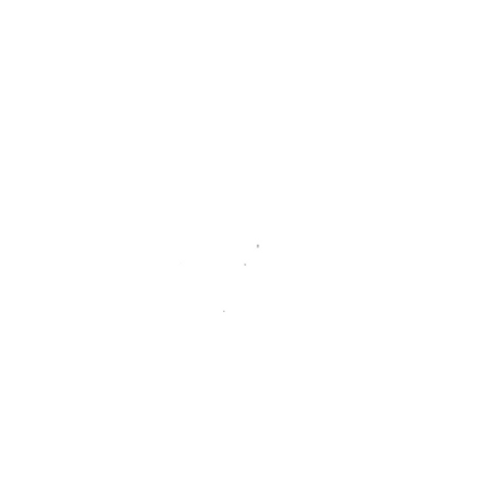 Cc1cccc2c1C=NCC(=O)N2C(C)C